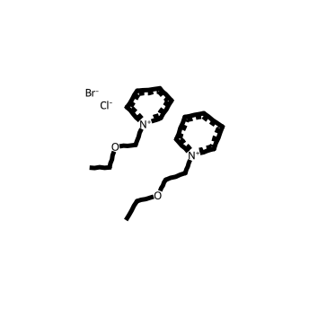 CCOCC[n+]1ccccc1.CCOC[n+]1ccccc1.[Br-].[Cl-]